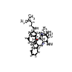 CN(C)CCNc1nn2ccccc2c1/N=C1\N/C(=N\c2c(NCCN(C)C)nn3ccccc23)C(N)=CC1=N